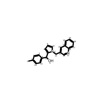 Cc1ccc(C(O)c2cccn2Cc2cnc3ccccc3c2)cc1